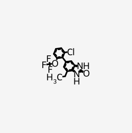 CCc1cc(-c2c(Cl)cccc2OC(F)(F)F)cc2[nH]c(=O)[nH]c12